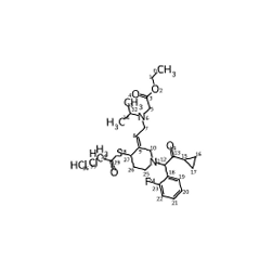 CCOC(=O)CN(CC=C1CN(C(C(=O)C2CC2)c2ccccc2F)CCC1SC(C)=O)C(C)C.Cl.Cl